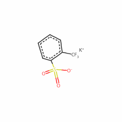 O=S(=O)([O-])c1ccccc1C(F)(F)F.[K+]